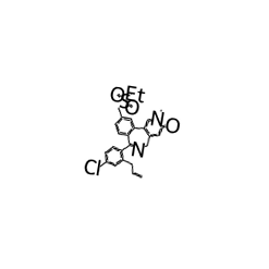 C=CCc1cc(Cl)ccc1C1=NCc2cc(=O)n(C)cc2-c2cc(CS(=O)(=O)CC)ccc21